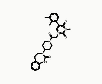 Cc1cccc(-c2cn(CC(=O)N3CCC(N4CCc5ccccc5NC4=O)CC3)c(=O)n(C)c2=O)c1C